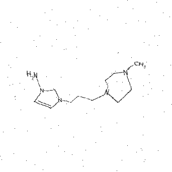 CN1CCN(CCCN2C=CN(N)C2)CC1